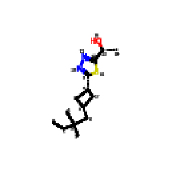 CCC(C)(C)C[C@H]1C[C@H](c2nnc([C@@H](C)O)s2)C1